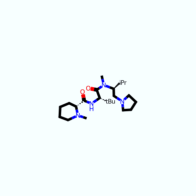 CC(C)[C@@H](CN1CCCC1)N(C)C(=O)[C@@H](NC(=O)[C@H]1CCCCN1C)C(C)(C)C